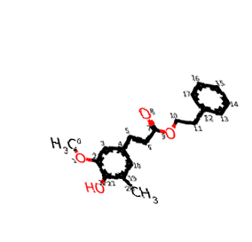 COc1cc(/C=C/C(=O)OCCc2ccccc2)cc(C)c1O